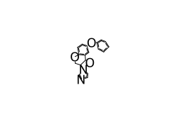 O=C1c2cc(Oc3ccccc3)ccc2OCC1n1ccnc1